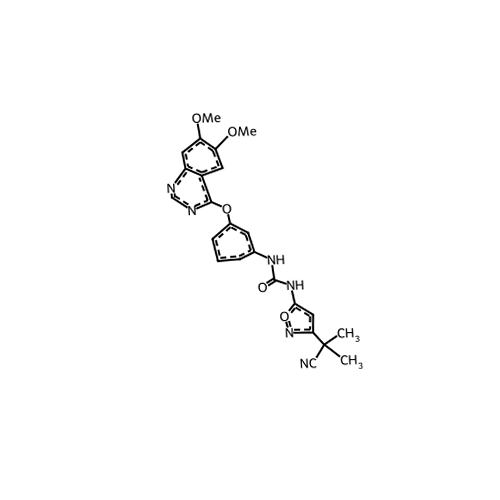 COc1cc2ncnc(Oc3cccc(NC(=O)Nc4cc(C(C)(C)C#N)no4)c3)c2cc1OC